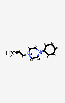 C=CCN1CCN(C2CCCCC2)CC1